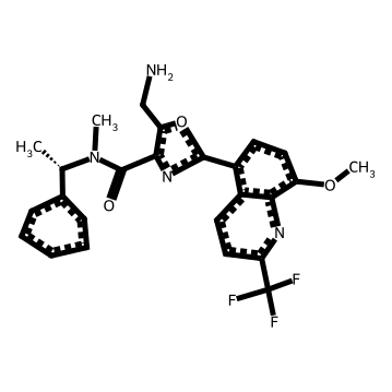 COc1ccc(-c2nc(C(=O)N(C)[C@@H](C)c3ccccc3)c(CN)o2)c2ccc(C(F)(F)F)nc12